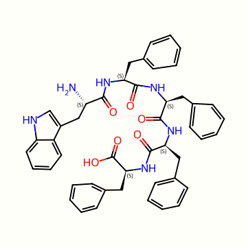 N[C@@H](Cc1c[nH]c2ccccc12)C(=O)N[C@@H](Cc1ccccc1)C(=O)N[C@@H](Cc1ccccc1)C(=O)N[C@@H](Cc1ccccc1)C(=O)N[C@@H](Cc1ccccc1)C(=O)O